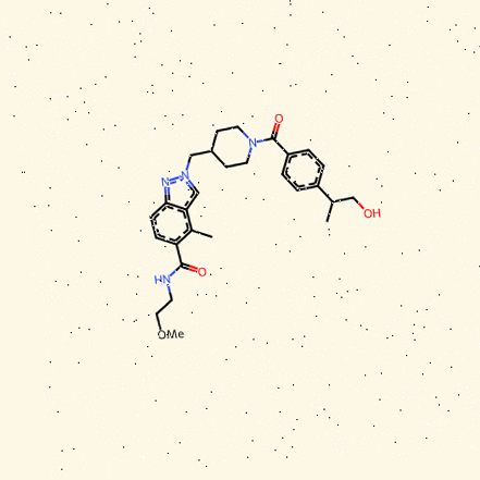 COCCNC(=O)c1ccc2nn(CC3CCN(C(=O)c4ccc(C(C)CO)cc4)CC3)cc2c1C